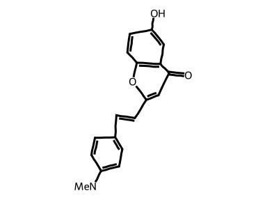 CNc1ccc(C=Cc2cc(=O)c3cc(O)ccc3o2)cc1